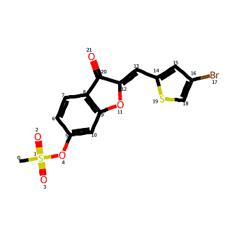 CS(=O)(=O)Oc1ccc2c(c1)O/C(=C\c1cc(Br)cs1)C2=O